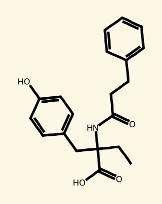 CCC(Cc1ccc(O)cc1)(NC(=O)CCc1ccccc1)C(=O)O